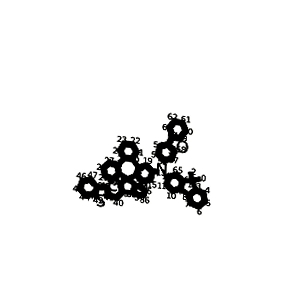 CC1(C)c2ccccc2-c2ccc(N(c3ccc4c(c3)-c3ccccc3-c3ccccc3C43c4ccccc4-c4cc5sc6ccccc6c5cc43)c3ccc4c(c3)oc3ccccc34)cc21